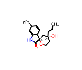 C=CC[C@@]1(O)CCO[C@]2(C1)C(=O)NC1=CC(CCC)C=CC12